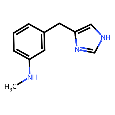 CNc1cccc(Cc2c[nH]cn2)c1